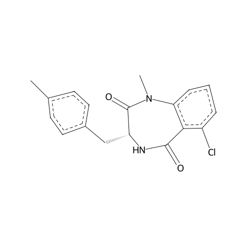 Cc1ccc(C[C@H]2NC(=O)c3c(Cl)cccc3N(C)C2=O)cc1